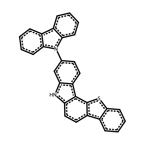 c1ccc2c(c1)sc1c2ccc2[nH]c3cc(-n4c5ccccc5c5ccccc54)ccc3c21